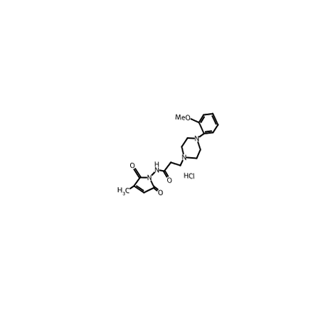 COc1ccccc1N1CCN(CCC(=O)NN2C(=O)C=C(C)C2=O)CC1.Cl